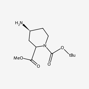 COC(=O)C1C[C@@H](N)CCN1C(=O)OC(C)(C)C